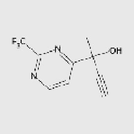 C#CC(C)(O)c1ccnc(C(F)(F)F)n1